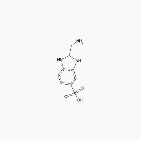 NCC1Nc2ccc(S(=O)(=O)O)cc2N1